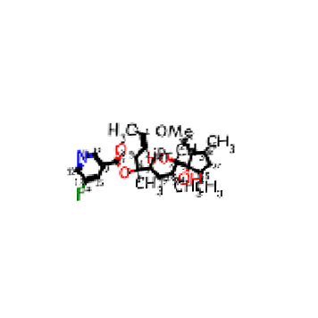 C/C=C\C[C@](C)(OC(=O)c1cncc(F)c1)C(C[C@@H](C)[C@](C)(O)C1(O)C(C)C[C@H](C)[C@@H]1COC)C(C)C